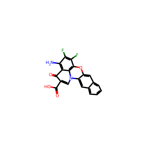 Nc1c(F)c(F)c2c3c1c(=O)c(C(=O)O)cn3-c1cc3ccccc3cc1O2